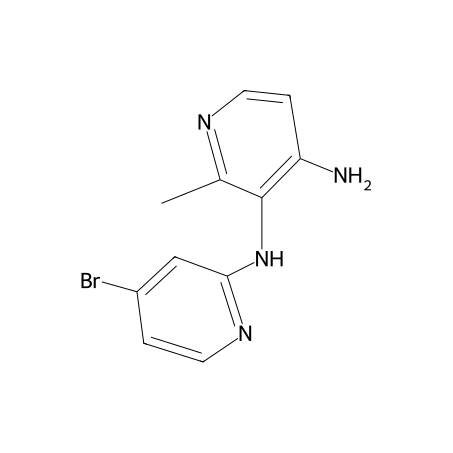 Cc1nccc(N)c1Nc1cc(Br)ccn1